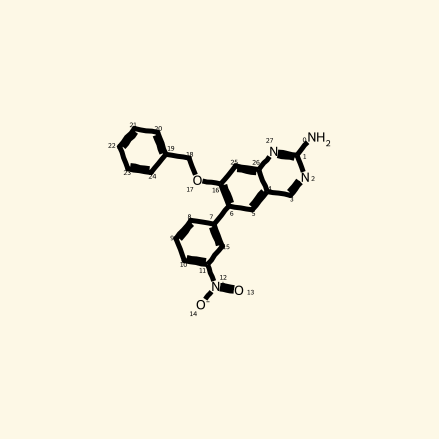 Nc1ncc2cc(-c3cccc([N+](=O)[O-])c3)c(OCc3ccccc3)cc2n1